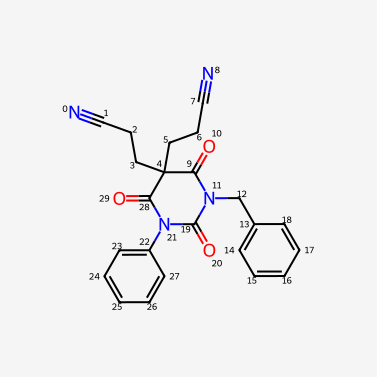 N#CCCC1(CCC#N)C(=O)N(Cc2ccccc2)C(=O)N(c2ccccc2)C1=O